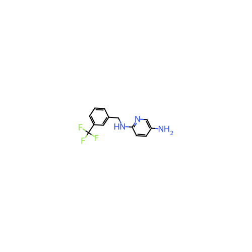 Nc1ccc(NCc2cccc(C(F)(F)F)c2)nc1